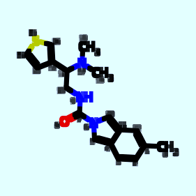 Cc1ccc2cn(C(=O)NCC(c3ccsc3)N(C)C)cc2c1